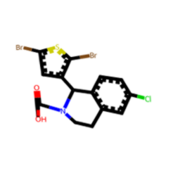 O=C(O)N1CCc2cc(Cl)ccc2C1c1cc(Br)sc1Br